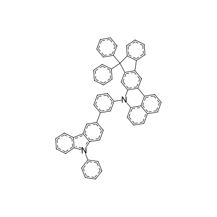 c1ccc(-n2c3ccccc3c3cc(-c4cccc(N5c6cc7c(cc6-c6cccc8cccc5c68)-c5ccccc5C7(c5ccccc5)c5ccccc5)c4)ccc32)cc1